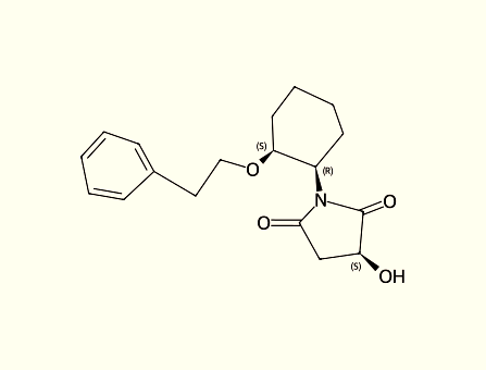 O=C1C[C@H](O)C(=O)N1[C@@H]1CCCC[C@@H]1OCCc1ccccc1